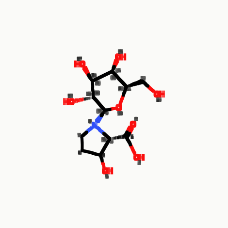 O=C(O)[C@@H]1C(O)CCN1[C@@H]1O[C@H](CO)[C@H](O)[C@H](O)[C@H]1O